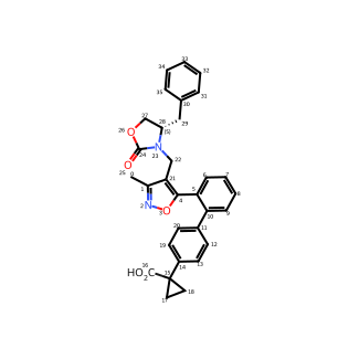 Cc1noc(-c2ccccc2-c2ccc(C3(C(=O)O)CC3)cc2)c1CN1C(=O)OC[C@@H]1Cc1ccccc1